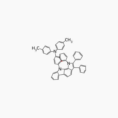 Cc1ccc(N(c2ccc(C)cc2)c2ccc(-n3c4ccccc4c4ccc5c(-c6ccccc6)c(-c6ccccc6)n(-c6ccccc6)c5c43)cc2)cc1